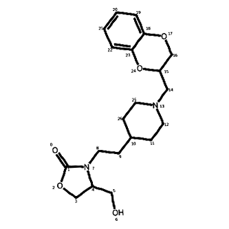 O=C1OCC(CO)N1CCC1CCN(CC2COc3ccccc3O2)CC1